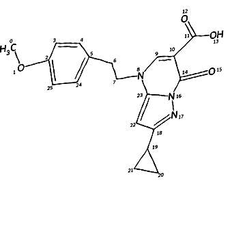 COc1ccc(CCn2cc(C(=O)O)c(=O)n3nc(C4CC4)cc23)cc1